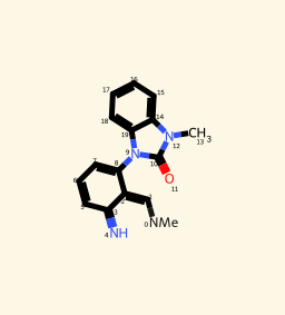 CN/C=C1\C(=N)C=CC=C1n1c(=O)n(C)c2ccccc21